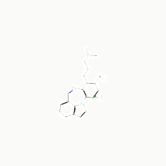 CC(=O)C1C=CC2=C(N=CC3=CCCc4ccn2c43)C1CCCN(C)C.Cl